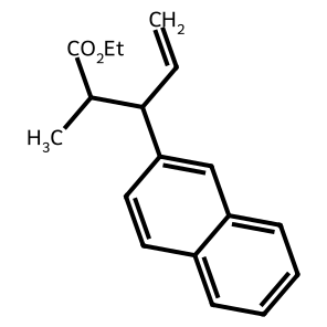 C=CC(c1ccc2ccccc2c1)C(C)C(=O)OCC